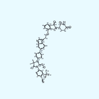 CC1(C)C(=O)N(c2ccc(C#N)c(C(F)(F)F)c2)C(=S=O)N1c1ccc(-c2ccc3c(c2)ncn3CCOc2cccc3c2CN(C2CCC(=O)NC2=O)C3=O)cc1